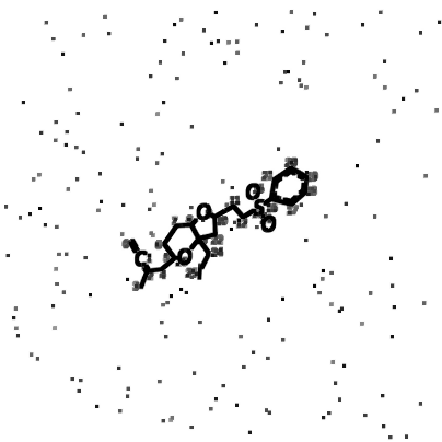 C=C=C(C)CC1CCC2OC(CCS(=O)(=O)c3ccccc3)CC2(CI)O1